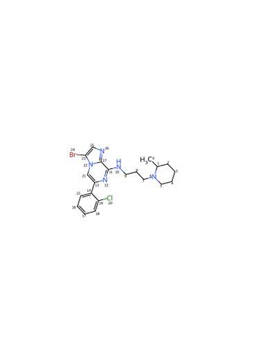 CC1CCCCN1CCCNc1nc(-c2ccccc2Cl)cn2c(Br)cnc12